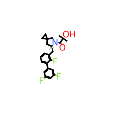 CC(C)(O)C(=O)N1CC2(CC2)C[C@@H]1Cc1cccc(-c2cc(F)cc(F)c2)c1F